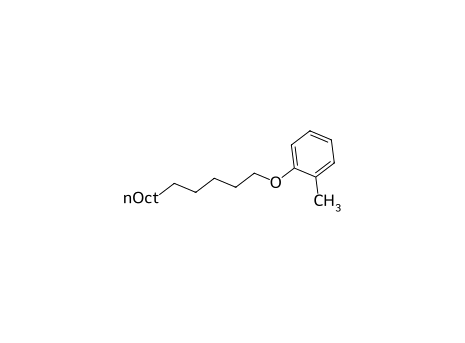 CCCCCCCCCCCCCOc1ccccc1C